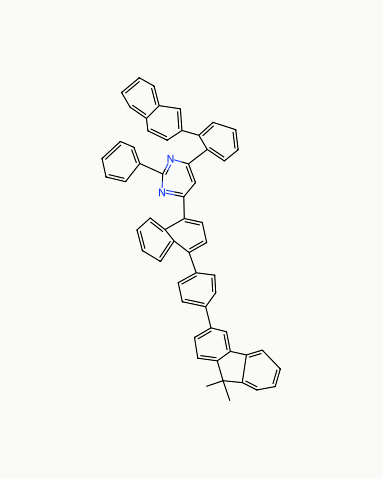 CC1(C)c2ccccc2-c2cc(-c3ccc(-c4ccc(-c5cc(-c6ccccc6-c6ccc7ccccc7c6)nc(-c6ccccc6)n5)c5ccccc45)cc3)ccc21